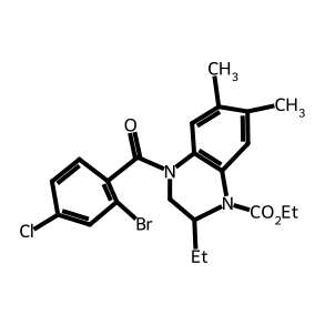 CCOC(=O)N1c2cc(C)c(C)cc2N(C(=O)c2ccc(Cl)cc2Br)CC1CC